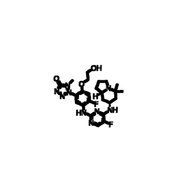 Cn1c(=O)nnn1-c1cc(Nc2ncc(F)c(N[C@@H]3C[C@@H]4CCCN4C(C)(C)C3)n2)c(F)cc1OCCO